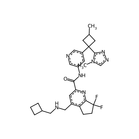 CC1CC(c2cncc(NC(=O)c3cc(CNCC4CCC4)c4c(n3)C(F)(F)CC4)c2)(c2nncn2C)C1